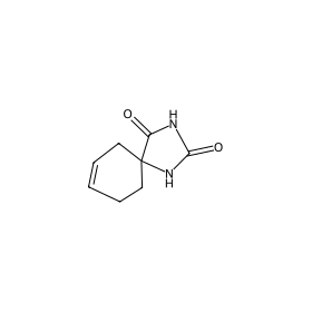 O=C1NC(=O)C2(CC=CCC2)N1